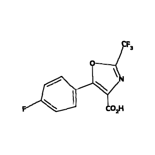 O=C(O)c1nc(C(F)(F)F)oc1-c1ccc(F)cc1